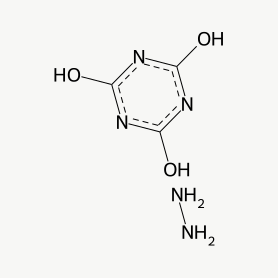 NN.Oc1nc(O)nc(O)n1